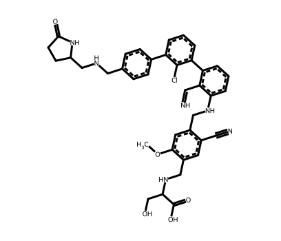 COc1cc(CNc2cccc(-c3cccc(-c4ccc(CNCC5CCC(=O)N5)cc4)c3Cl)c2C=N)c(C#N)cc1CNC(CO)C(=O)O